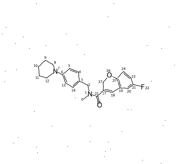 CN(Cc1ccc(N2CCCCC2)cc1)C(=O)C1=Cc2cc(F)ccc2OC1